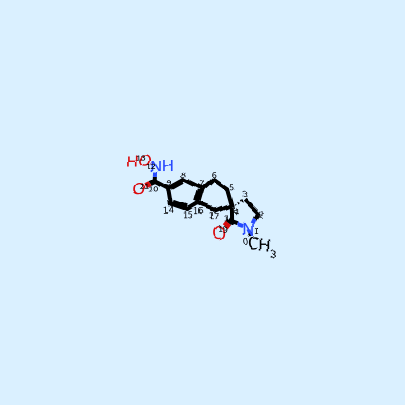 CN1CC[C@]2(CCc3cc(C(=O)NO)ccc3C2)C1=O